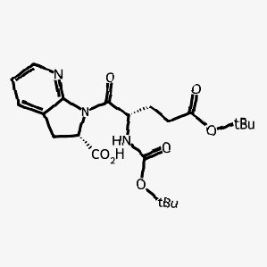 CC(C)(C)OC(=O)CC[C@H](NC(=O)OC(C)(C)C)C(=O)N1c2ncccc2C[C@H]1C(=O)O